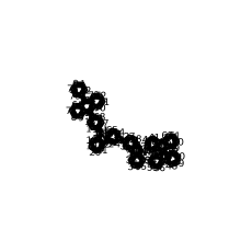 c1ccc(-c2c3ccccc3c(-c3ccc(-n4c5ccccc5c5cc(-c6ccc7c(c6)c6ccccc6n7-c6ccc7c(c6)C(c6ccccc6)(c6ccccc6)c6ccccc6-7)ccc54)cc3)c3ccccc23)cc1